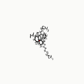 CCCCCCCCCCn1ccnc1C(CCCC)C(C)(Cc1ccccc1)c1ccccc1